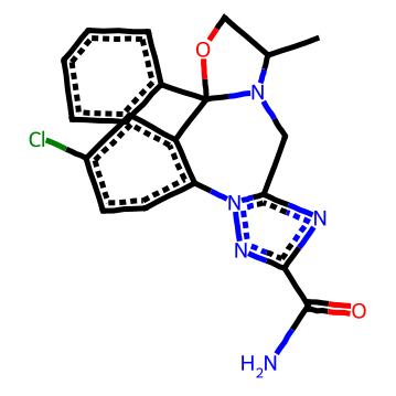 CC1COC2(c3ccccc3)c3cc(Cl)ccc3-n3nc(C(N)=O)nc3CN12